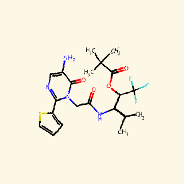 CC(C)C(NC(=O)Cn1c(-c2cccs2)ncc(N)c1=O)C(OC(=O)C(C)(C)C)C(F)(F)F